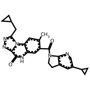 Cc1cc2c(cc1C(=O)N1CCc3cc(C4CC4)cnc31)[nH]c(=O)c1nnc(CC3CC3)n12